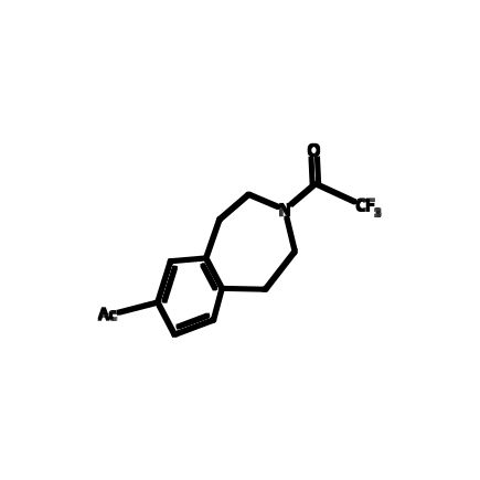 CC(=O)c1ccc2c(c1)CCN(C(=O)C(F)(F)F)CC2